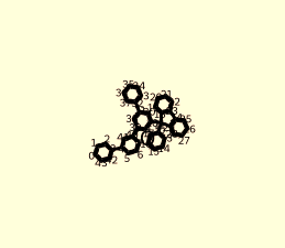 c1ccc(-c2ccc3oc4c(C5(c6ccccc6)c6ccccc6-c6ccccc65)cc(-c5ccccc5)cc4c3c2)cc1